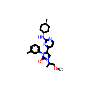 CCOCC(C)n1cc(-c2ccnc(N[C@H]3CC[C@H](C)CC3)n2)n(-c2cccc(C)c2)c1=O